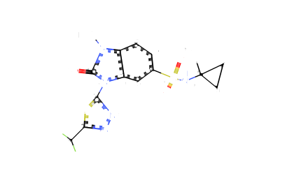 Cn1c(=O)n(-c2nnc(C(F)F)s2)c2cc(S(=O)(=O)NC3(C)CC3)ccc21